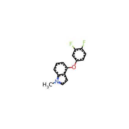 Cn1ccc2c(Oc3ccc(F)c(F)c3)cccc21